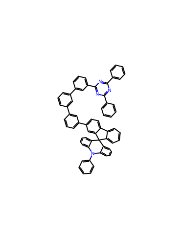 c1ccc(-c2nc(-c3ccccc3)nc(-c3cccc(-c4cccc(-c5cccc(-c6ccc7c(c6)C6(c8ccccc8-7)c7ccccc7N(c7ccccc7)c7ccccc76)c5)c4)c3)n2)cc1